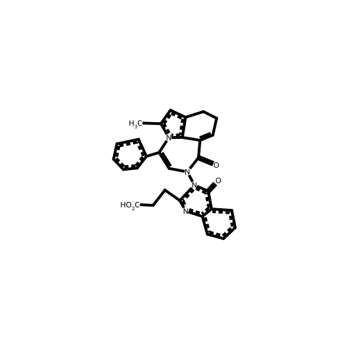 Cc1cc2c3n1C(c1ccccc1)=CN(n1c(CCC(=O)O)nc4ccccc4c1=O)C(=O)C3=CCC2